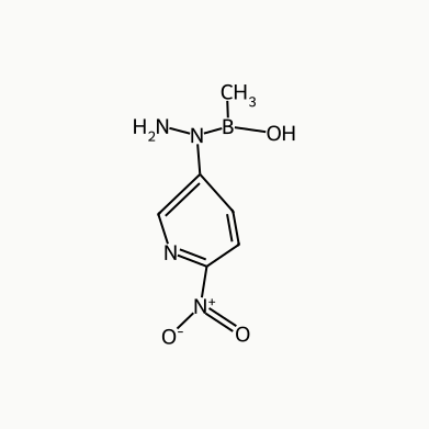 CB(O)N(N)c1ccc([N+](=O)[O-])nc1